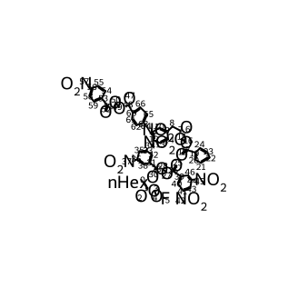 CCCCCCC(=O)OOF.O=C(Cc1ccccc1)OOC(=O)c1ccccc1.O=C(OOC(=O)c1cc([N+](=O)[O-])cc([N+](=O)[O-])c1)c1cc([N+](=O)[O-])cc([N+](=O)[O-])c1.O=C(OOC(=O)c1ccc([N+](=O)[O-])cc1)c1ccc([N+](=O)[O-])cc1